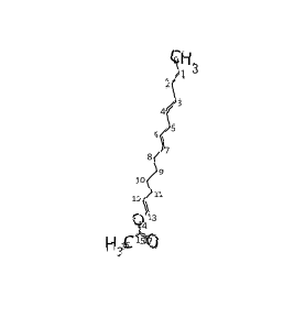 CCCC=CCC=CCCCCC=COC(C)=O